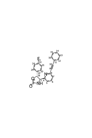 O=C1N[C@H](c2cccc(C#Cc3ccccc3)n2)[C@@H](c2ccc(F)cc2)O1